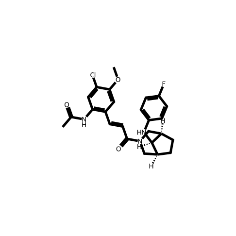 COc1cc(C=CC(=O)N2C[C@H]3CC[C@@H](C2)[C@H]3Nc2ccc(F)cc2)c(NC(C)=O)cc1Cl